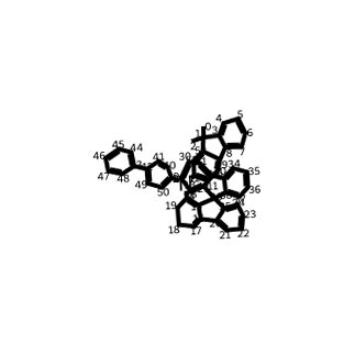 CC1(C)c2ccccc2-c2ccc(N(C3=C4C(=CCC3)c3ccccc3C43c4ccccc4-c4ccccc43)c3ccc(-c4ccccc4)cc3)cc21